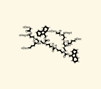 CCCCCCCCCCCCCC(=O)N[C@@H](CCN(CCCNC(=O)NCCCN(CC[C@@H](COCC[C@@H](CCCCCCC)OC(=O)CCCCCCCCCCC)NC(=O)CCCCCCCCCCCCC)C(=O)OCC1c2ccccc2-c2ccccc21)C(=O)OCC1c2ccccc2-c2ccccc21)COCC[C@@H](CCCCCCC)OC(=O)CCCCCCCCCCC